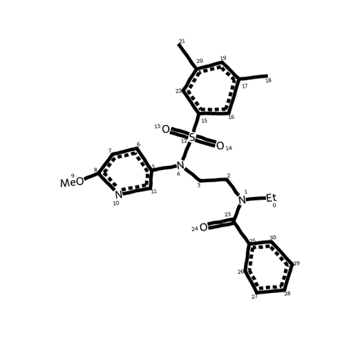 CCN(CCN(c1ccc(OC)nc1)S(=O)(=O)c1cc(C)cc(C)c1)C(=O)c1ccccc1